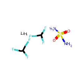 FC(F)F.FC(F)F.NS(N)(=O)=O.[LiH]